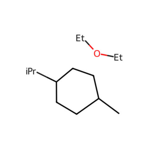 CC1CCC(C(C)C)CC1.CCOCC